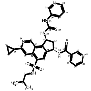 CC(C)CNS(=O)(=O)c1cc2c(c3cnc(C4CC4)cc13)[C@@H](NC(=S)Nc1cccnc1)C[C@@H]2NC(=O)c1cccnc1